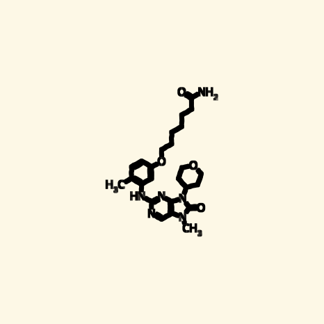 Cc1ccc(OCCCCCCC(N)=O)cc1Nc1ncc2c(n1)n(C1CCOCC1)c(=O)n2C